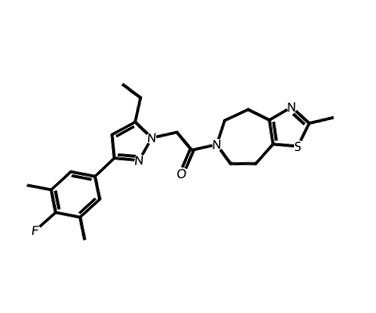 CCc1cc(-c2cc(C)c(F)c(C)c2)nn1CC(=O)N1CCc2nc(C)sc2CC1